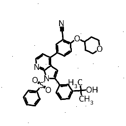 CC(C)(O)c1cccc(-c2cc3c(-c4ccc(OC5CCOCC5)c(C#N)c4)ccnc3n2S(=O)(=O)c2ccccc2)c1